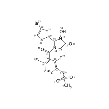 CS(=O)(=O)Nc1ccc(F)c(C(=O)N2CC(=O)N(O)C2c2cc(Br)cs2)c1F